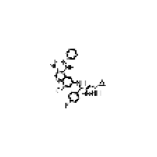 CCN(Nc1c(C#N)cnc2c(Cl)cc(NC(C3=CN(C4CC4)NN3)c3ccc(F)cc3)cc12)c1ccccc1